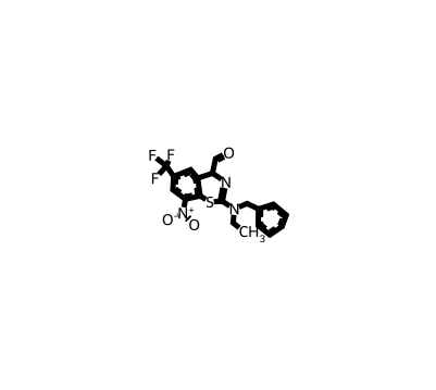 CCN(Cc1ccccc1)C1=NC(C=O)c2cc(C(F)(F)F)cc([N+](=O)[O-])c2S1